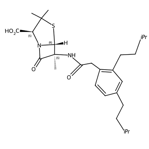 CC(C)CCc1ccc(CC(=O)N[C@@]2(C)C(=O)N3[C@@H](C(=O)O)C(C)(C)S[C@@H]32)c(CCC(C)C)c1